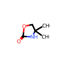 [CH]C1([CH])COC(=O)N1